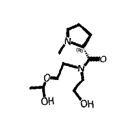 CC(O)OCCN(CCO)C(=O)[C@H]1CCCN1C